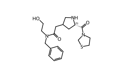 O=C(CC1CN[C@H](C(=O)N2CCSC2)C1)N(CCO)Cc1ccccc1